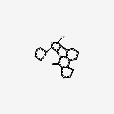 O=c1c2ccccc2c2cccc3c4c(Br)sc(-c5ccccc5)c4n1c23